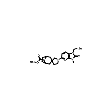 Cn1c(=O)n(CC(C)(C)C)c2ccc(N3CCC4(CC5CCC(C4)N5C(=O)OC(C)(C)C)C3)nc21